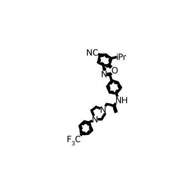 C=C(CN1CCN(c2ccc(C(F)(F)F)cc2)CC1)Nc1ccc(-c2nc3cc(C#N)cc(C(C)C)c3o2)cc1